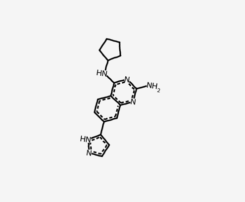 Nc1nc(NC2CCCC2)c2ccc(-c3ccn[nH]3)cc2n1